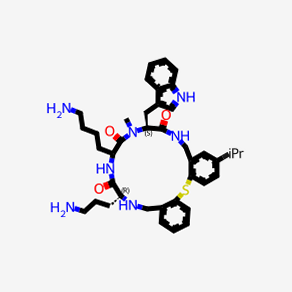 CC(C)c1ccc2c(c1)CNC(=O)[C@H](Cc1c[nH]c3ccccc13)N(C)C(=O)C(CCCCN)NC(=O)[C@@H](CCCN)NCc1ccccc1S2